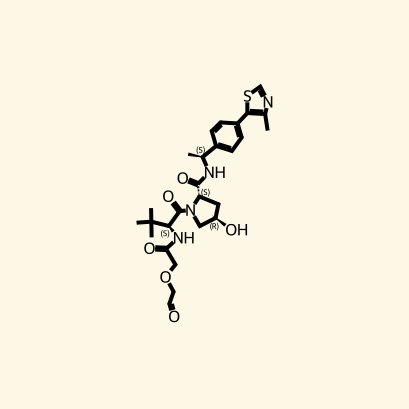 Cc1ncsc1-c1ccc([C@H](C)NC(=O)[C@@H]2C[C@@H](O)CN2C(=O)[C@@H](NC(=O)COCC=O)C(C)(C)C)cc1